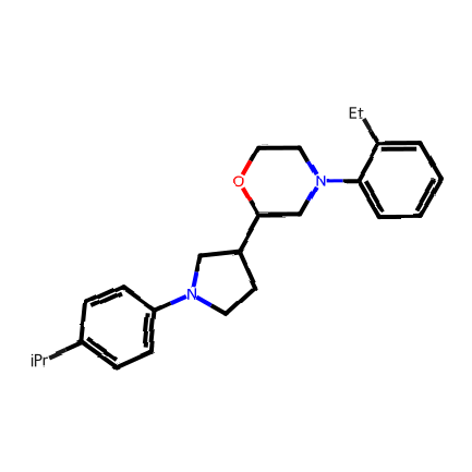 CCc1ccccc1N1CCOC(C2CCN(c3ccc(C(C)C)cc3)C2)C1